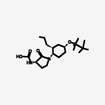 CCC[C@@H]1C[C@H](O[Si](C)(C)C(C)(C)C)CC[C@@H]1N1CC[C@H](NC(=O)O)C1=O